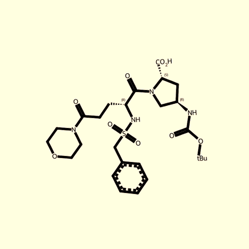 CC(C)(C)OC(=O)N[C@@H]1C[C@@H](C(=O)O)N(C(=O)[C@@H](CCC(=O)N2CCOCC2)NS(=O)(=O)Cc2ccccc2)C1